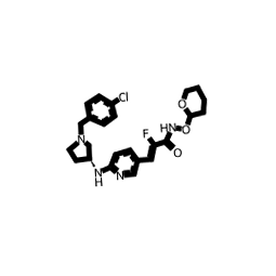 O=C(NOC1CCCCO1)C(F)=Cc1ccc(N[C@@H]2CCN(Cc3ccc(Cl)cc3)C2)nc1